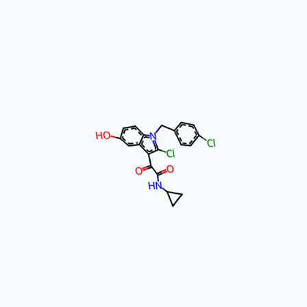 O=C(NC1CC1)C(=O)c1c(Cl)n(Cc2ccc(Cl)cc2)c2ccc(O)cc12